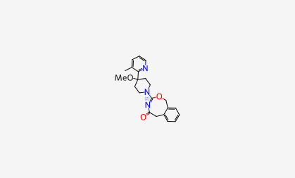 COC1(c2ncccc2C)CCN(/C2=N/C(=O)Cc3ccccc3CO2)CC1